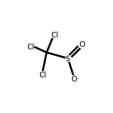 [O]S(=O)C(Cl)(Cl)Cl